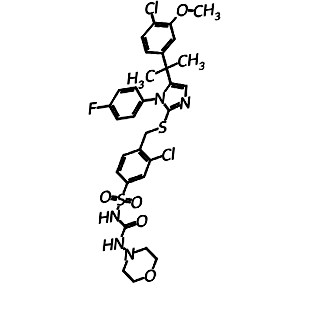 COc1cc(C(C)(C)c2cnc(SCc3ccc(S(=O)(=O)NC(=O)NN4CCOCC4)cc3Cl)n2-c2ccc(F)cc2)ccc1Cl